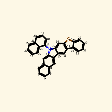 c1ccc2cc3c(cc2c1)c1cc2c(cc1n3-c1cccc3ccccc13)sc1ccccc12